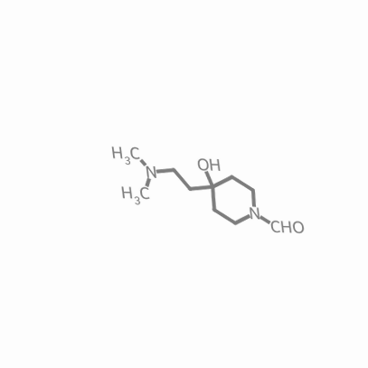 CN(C)CCC1(O)CCN(C=O)CC1